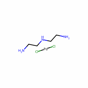 NCCNCCN.[Cl][Pd][Cl]